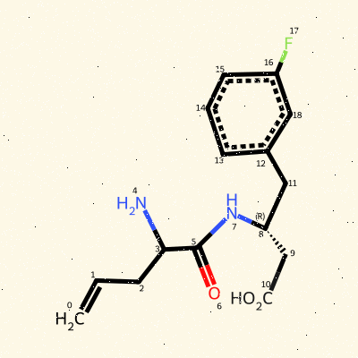 C=CCC(N)C(=O)N[C@@H](CC(=O)O)Cc1cccc(F)c1